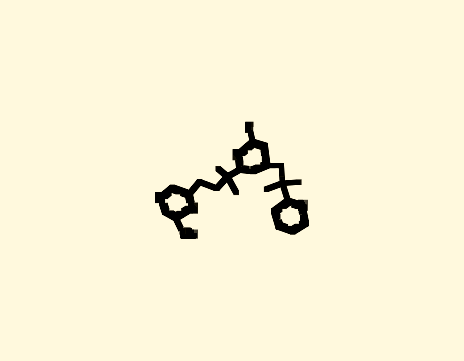 CC(C)(C)c1cncc(CCC(C)(C)c2cc(CC(C)(C)c3ccccn3)cc(F)n2)n1